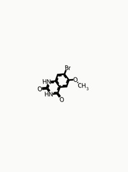 COc1cc2c(=O)[nH]c(=O)[nH]c2cc1Br